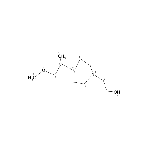 COCC(C)N1CCN(CCO)CC1